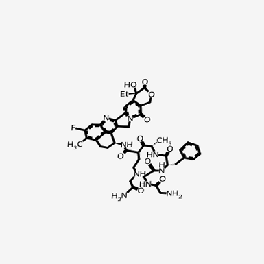 CC[C@@]1(O)C(=O)OCc2c1cc1n(c2=O)Cc2c-1nc1cc(F)c(C)c3c1c2[C@@H](NC(=O)C(CCNCC(N)=O)C(=O)[C@H](C)NC(=O)[C@H](Cc1ccccc1)NC(=O)CNC(=O)CN)CC3